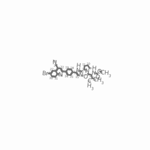 COC(=O)N[C@H](C(=O)N1CCC[C@H]1c1ncc(-c2ccc(-c3cc(C#N)c4cc(Br)ccc4n3)cc2)[nH]1)C(C)C